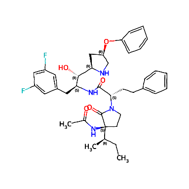 CC[C@@H](C)[C@@]1(NC(C)=O)CCN([C@@H](CCc2ccccc2)C(=O)N[C@@H](Cc2cc(F)cc(F)c2)[C@H](O)[C@H]2C[C@@H](Oc3ccccc3)CN2)C1=O